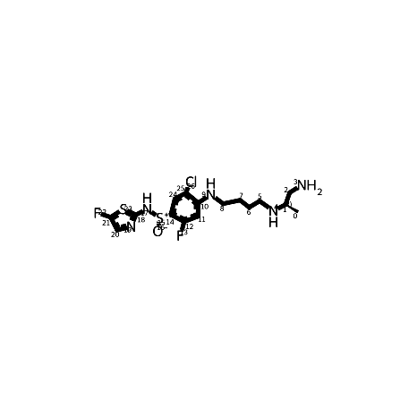 C[C@H](CN)NCCCCNc1cc(F)c([S+]([O-])Nc2ncc(F)s2)cc1Cl